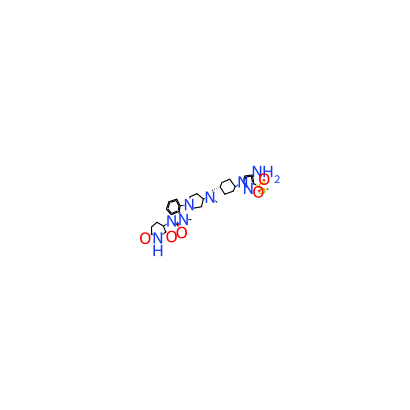 CN(C[C@H]1CC[C@H](n2cc(N)c(S(C)(=O)=O)n2)CC1)C1CCN(c2cccc3c2n(C)c(=O)n3C2CCC(=O)NC2=O)CC1